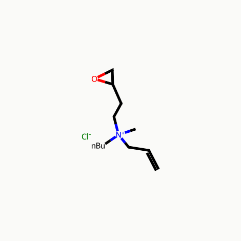 C=CC[N+](C)(CCCC)CCC1CO1.[Cl-]